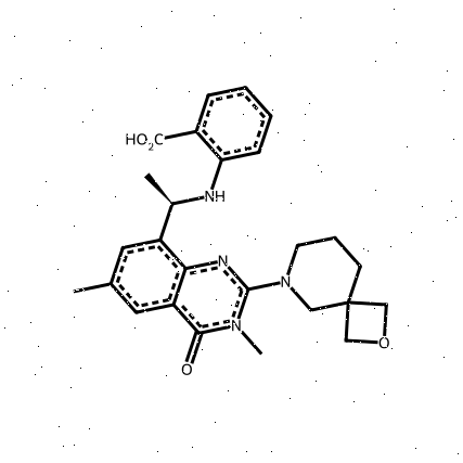 Cc1cc([C@@H](C)Nc2ccccc2C(=O)O)c2nc(N3CCCC4(COC4)C3)n(C)c(=O)c2c1